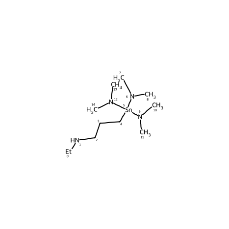 CCNCC[CH2][Sn]([N](C)C)([N](C)C)[N](C)C